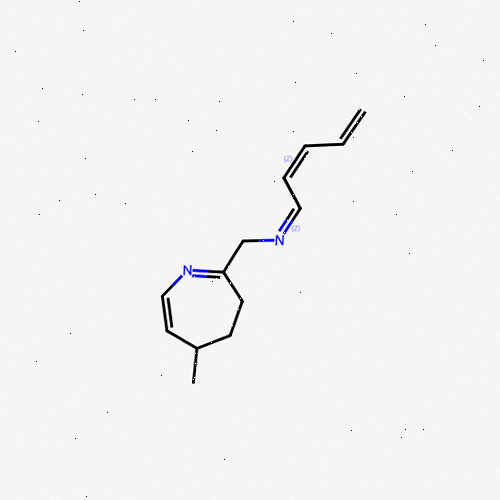 C=C/C=C\C=N/CC1=NC=CC(C)CC1